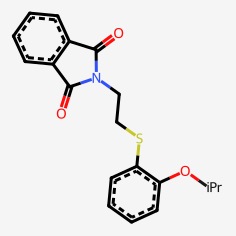 CC(C)Oc1ccccc1SCCN1C(=O)c2ccccc2C1=O